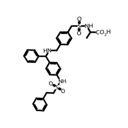 CC(NS(=O)(=O)Cc1ccc(CNC(c2ccccc2)c2ccc(NS(=O)(=O)CCc3ccccc3)cc2)cc1)C(=O)O